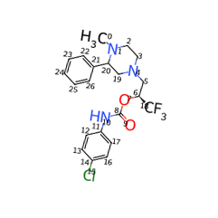 CN1CCN(C[C@H](OC(=O)Nc2ccc(Cl)cc2)C(F)(F)F)CC1c1ccccc1